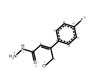 NNC(=O)C=C(CCl)c1ccc(F)cc1